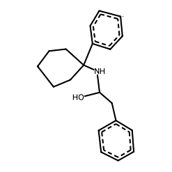 OC(Cc1ccccc1)NC1(c2cc[c]cc2)CCCCC1